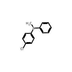 CN(c1ccccc1)c1ccc(Cl)cc1